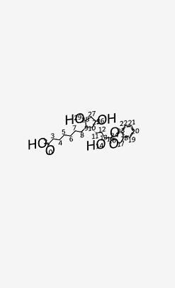 O=C(O)CCCCCC[C@@H]1[C@@H](CC[C@H](O)C2OCc3ccccc3O2)[C@H](O)C[C@@H]1O